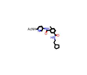 CC(=O)Nc1ccc(NC(=O)c2cc(C(=O)NCCC3CCCC3)ccc2C)cn1